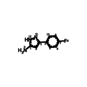 Nc1cc(-c2ccc(F)cc2)n[nH]1